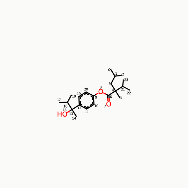 CC(C)CC(C)(C(=O)Oc1ccc(C(C)(O)C(C)C)cc1)C(C)C